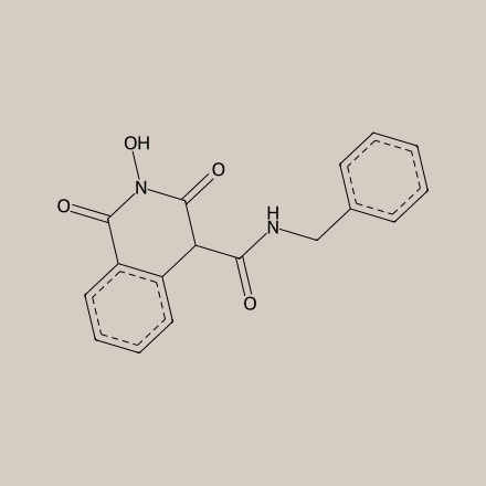 O=C(NCc1ccccc1)C1C(=O)N(O)C(=O)c2ccccc21